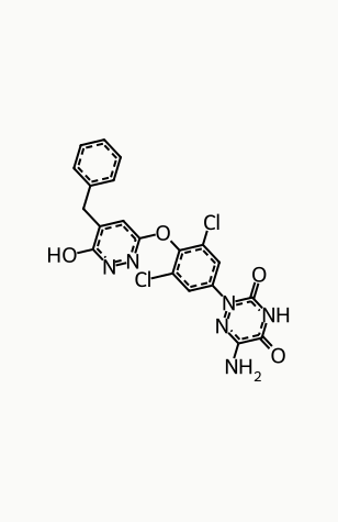 Nc1nn(-c2cc(Cl)c(Oc3cc(Cc4ccccc4)c(O)nn3)c(Cl)c2)c(=O)[nH]c1=O